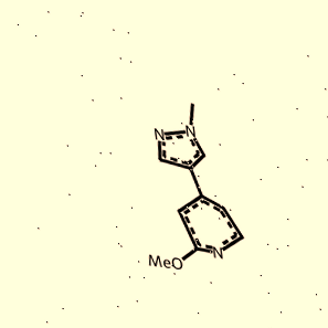 COc1cc(-c2cnn(C)c2)ccn1